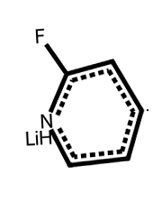 Fc1c[c]ccn1.[LiH]